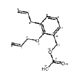 C=CCOc1c(CC=C)cccc1COC(=O)O